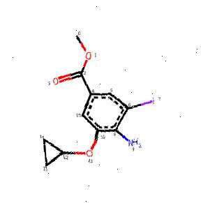 COC(=O)c1cc(I)c(N)c(OC2CC2)c1